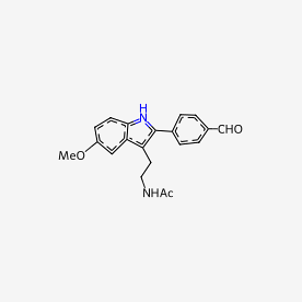 COc1ccc2[nH]c(-c3ccc(C=O)cc3)c(CCNC(C)=O)c2c1